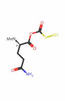 CN[C@H](CCC(N)=O)C(=O)OC(=O)SS